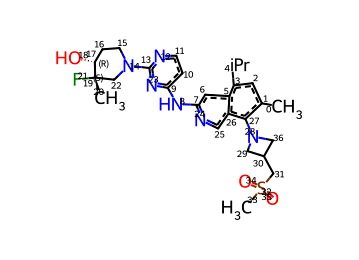 Cc1cc(C(C)C)c2cc(Nc3ccnc(N4CC[C@@H](O)[C@@](C)(F)C4)n3)ncc2c1N1CC(CS(C)(=O)=O)C1